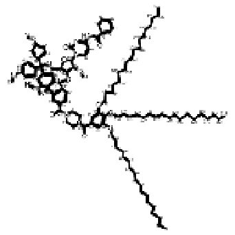 CCCCCCCCCCCCCCCCCCOc1cc(C(=O)N2CCN(C(=O)c3ccc(C(=O)OC4C(COC(c5ccccc5)(c5ccc(OC)cc5)c5ccc(OC)cc5)OC(n5ccc(NC(=O)c6ccccc6)nc5=O)C4OC)c(CN=[N+]=[N-])c3)CC2)cc(OCCCCCCCCCCCCCCCCCC)c1OCCCCCCCCCCCCCCCCCC